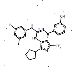 Cc1cc(F)cc(N/C(=N/C(=O)c2cccc(C#N)c2)Nc2cc(C(F)(F)F)nn2C2CCCC2)c1